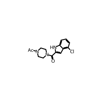 CC(=O)N1CCN(C(=O)c2cc3c(Cl)cccc3[nH]2)CC1